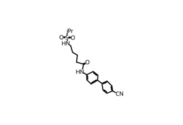 CC(C)S(=O)(=O)NCCCCC(=O)Nc1ccc(-c2ccc(C#N)cc2)cc1